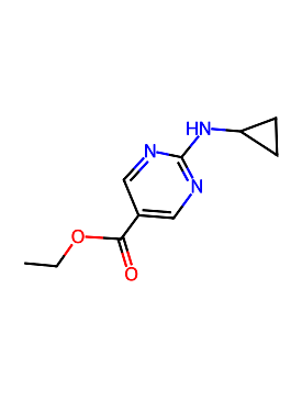 CCOC(=O)c1cnc(NC2CC2)nc1